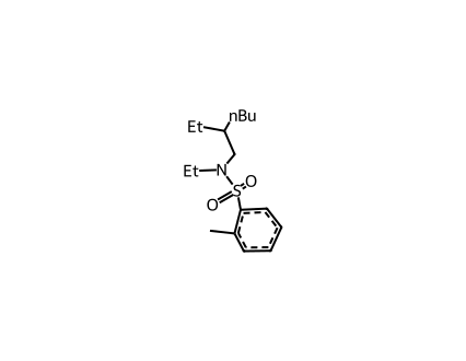 CCCCC(CC)CN(CC)S(=O)(=O)c1ccccc1C